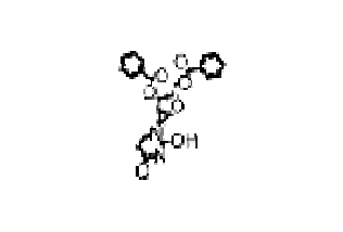 O=C(OC[C@@H]1OC2C(C1OC(=O)c1ccccc1)[C@H]2n1ccc(=O)nc1O)c1ccccc1